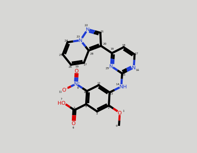 COc1cc(C(=O)O)c([N+](=O)[O-])cc1Nc1nccc(-c2cnn3ccccc23)n1